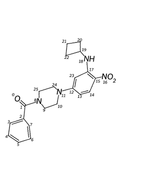 O=C(c1ccccc1)N1CCN(c2ccc([N+](=O)[O-])c(NC3CCC3)c2)CC1